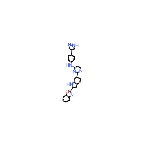 c1ccc2oc(-c3cc4ccc(-c5nccc(Nc6ccc(-c7cn[nH]c7)cc6)n5)cc4[nH]3)nc2c1